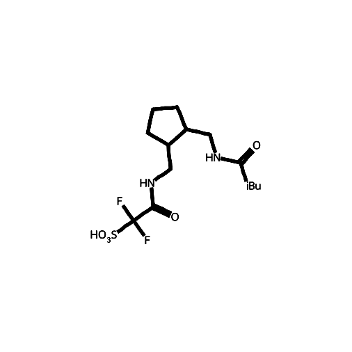 CCC(C)C(=O)NCC1CCCC1CNC(=O)C(F)(F)S(=O)(=O)O